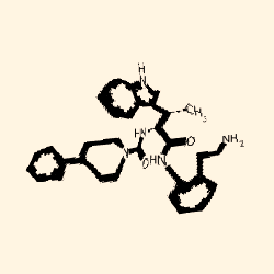 C[C@@H](c1c[nH]c2ccccc12)[C@@H](NC(=O)N1CCC(c2ccccc2)CC1)C(=O)Nc1ccccc1CCN